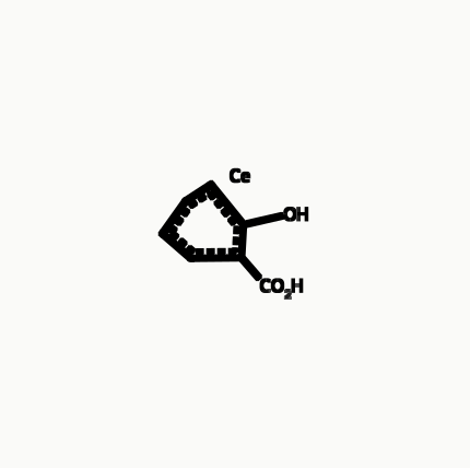 O=C(O)c1ccccc1O.[Ce]